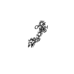 O=C(NC1(c2ccccc2C(F)(F)F)CC1)c1ccc(-n2nc(-c3c(F)cccc3Cl)[nH]c2=O)cc1